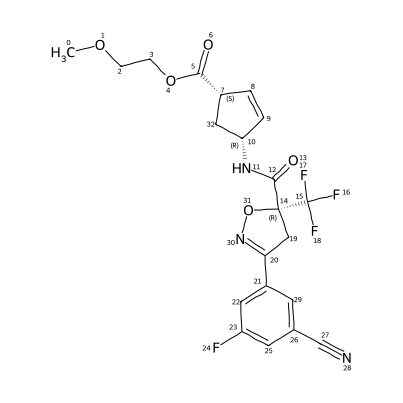 COCCOC(=O)[C@@H]1C=C[C@H](NC(=O)[C@@]2(C(F)(F)F)CC(c3cc(F)cc(C#N)c3)=NO2)C1